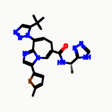 Cc1ccc(-c2cnc3n2C=C(C(=O)N[C@@H](C)c2nnc[nH]2)CC=C3n2nncc2C(C)(C)C)s1